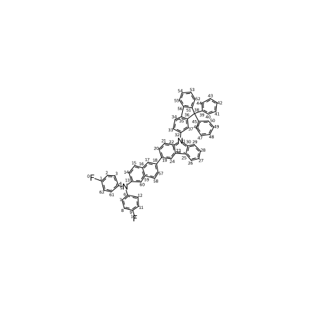 Fc1ccc(N(c2ccc(F)cc2)c2ccc3cc(-c4ccc5c(c4)c4ccccc4n5-c4ccc5c(c4)C(c4ccccc4)(c4ccccc4)c4ccccc4-5)ccc3c2)cc1